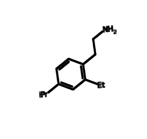 CCc1cc(C(C)C)ccc1CCN